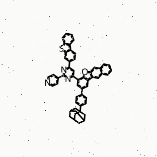 c1ccc2cc3c(cc2c1)oc1c(-c2cc(-c4ccc5c(c4)sc4ccccc45)nc(-c4ccncc4)n2)cc(-c2ccc(C45CC6CC(CC(C6)C4)C5)cc2)cc13